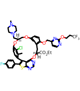 CCOC(=O)[C@H]1Cc2cc(ccc2OCc2ccnc(OCCC(F)(F)F)n2)OC[C@H](CN2CCN(C)CC2)Oc2ccc(c(C)c2Cl)-c2c(-c3ccc(F)cc3)sc3ncnc(c23)O1